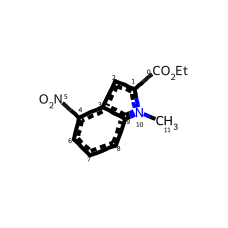 CCOC(=O)c1cc2c([N+](=O)[O-])cccc2n1C